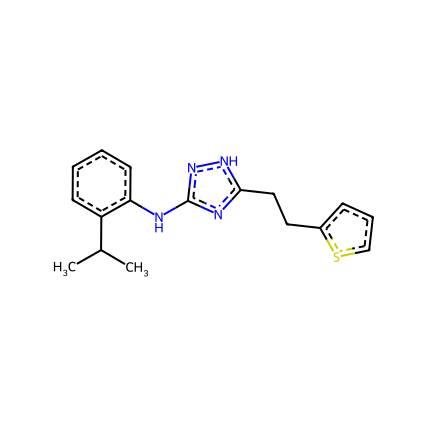 CC(C)c1ccccc1Nc1n[nH]c(CCc2cccs2)n1